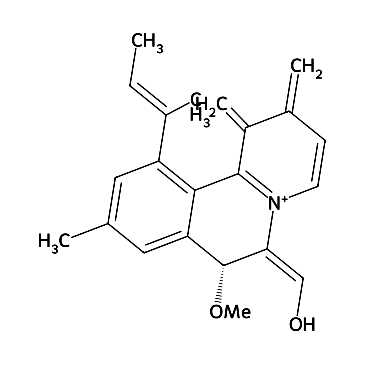 C=c1cc[n+]2c(c1=C)-c1c(/C(C)=C/C)cc(C)cc1[C@@H](OC)/C2=C\O